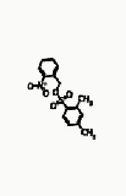 Cc1ccc(S(=O)(=O)OCc2ccccc2[N+](=O)[O-])c(C)c1